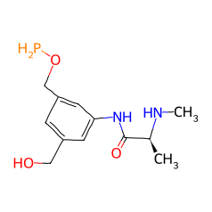 CN[C@@H](C)C(=O)Nc1cc(CO)cc(COP)c1